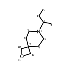 CCC(C)N1CCC2(CC1)COC2